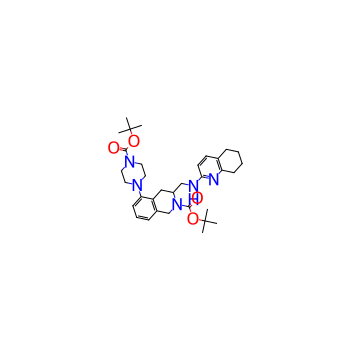 CC(C)(C)OC(=O)N1CCN(c2cccc3c2CC(CNc2ccc4c(n2)CCCC4)N(C(=O)OC(C)(C)C)C3)CC1